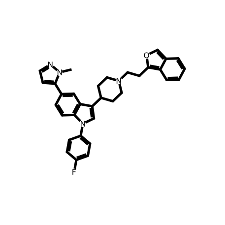 Cn1nccc1-c1ccc2c(c1)c(C1CCN(CCc3occ4ccccc34)CC1)cn2-c1ccc(F)cc1